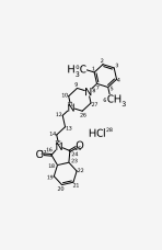 Cc1cccc(C)c1N1CCN(CCCN2C(=O)C3CC=CCC3C2=O)CC1.Cl